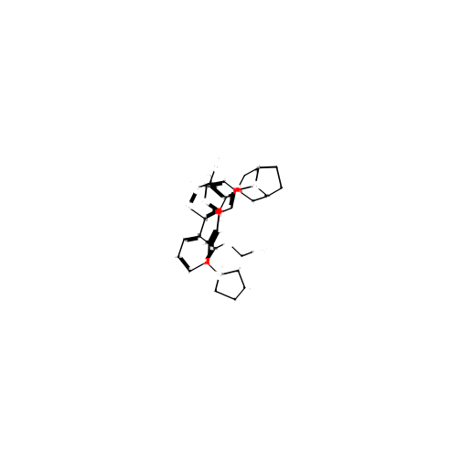 COCOc1ccccc1-c1cc(N2CC3CCC(C2)N3c2ccnc(C#CCN3CCCC3)c2)c(N)nn1